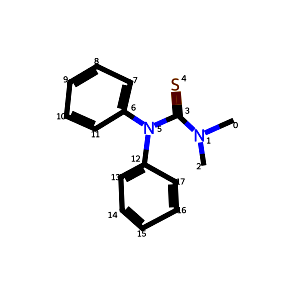 CN(C)C(=S)N(c1ccccc1)c1ccccc1